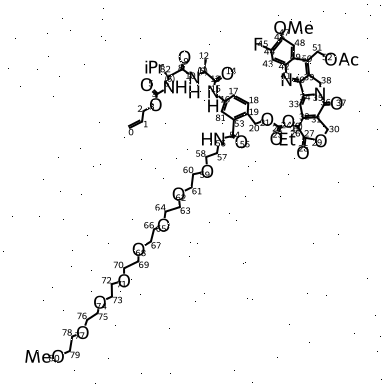 C=CCOC(=O)N[C@H](C(=O)N[C@@H](C)C(=O)Nc1ccc(COC(=O)O[C@]2(CC)C(=O)OCc3c2cc2n(c3=O)Cc3c-2nc2cc(F)c(OC)cc2c3COC(C)=O)c(C(=O)NCCOCCOCCOCCOCCOCCOCCOCCOC)c1)C(C)C